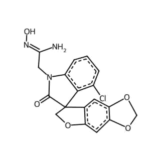 N/C(CN1C(=O)C2(COc3cc4c(cc32)OCO4)c2c(Cl)cccc21)=N\O